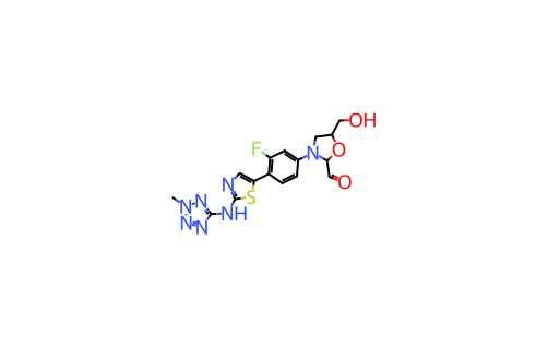 Cn1nnc(Nc2ncc(-c3ccc(N4CC(CO)OC4C=O)cc3F)s2)n1